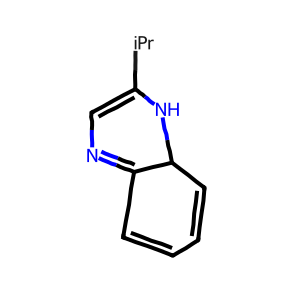 CC(C)C1=CN=C2C=CC=CC2N1